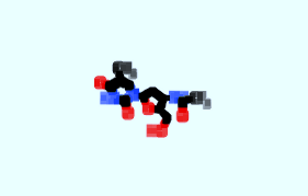 Cc1cn([C@H]2C[C@H](NC(=O)C(F)(F)F)[C@@H](CO)O2)c(=O)[nH]c1=O